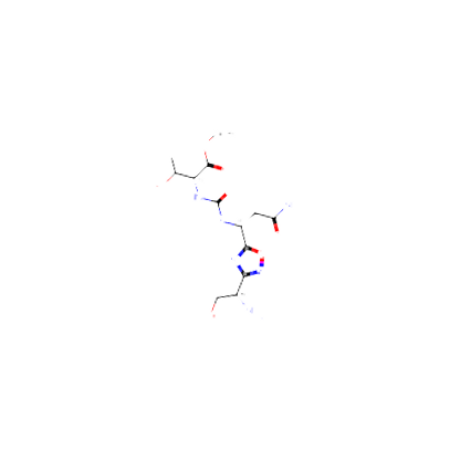 CCCCCOC(=O)[C@@H](NC(=O)N[C@@H](CC(N)=O)c1nc([C@@H](N)CO)no1)C(C)O